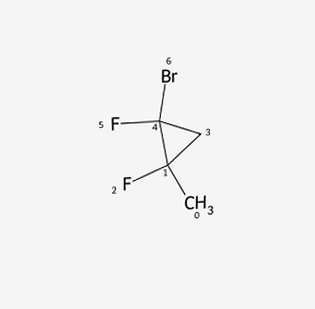 CC1(F)CC1(F)Br